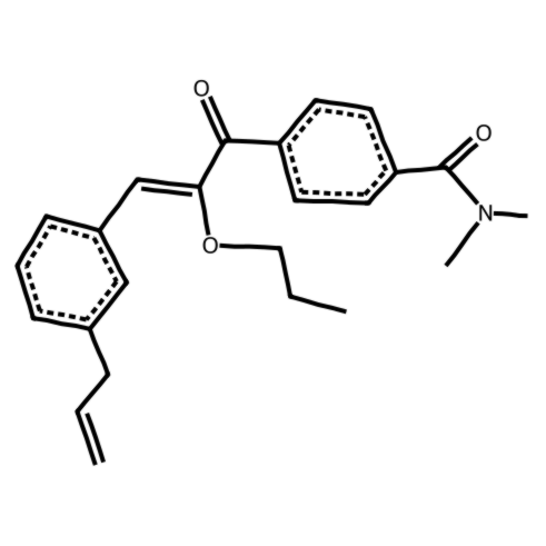 C=CCc1cccc(C=C(OCCC)C(=O)c2ccc(C(=O)N(C)C)cc2)c1